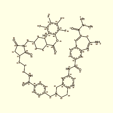 CCCN(CCC)C(=O)C1=Cc2ccc(C(=O)Nc3cnc4c(c3)CN(Cc3ccc(C(=O)NCCSC5CC(=O)N(CC6CCC(C(=O)Oc7c(O)c(F)c(F)c(F)c7F)CC6)C5=O)cc3)CC4)cc2N=C(N)C1